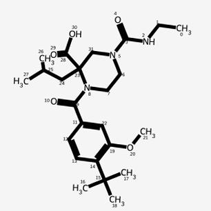 CCNC(=O)N1CCN(C(=O)c2ccc(C(C)(C)C)c(OC)c2)C(CC(C)C)(C(=O)O)C1